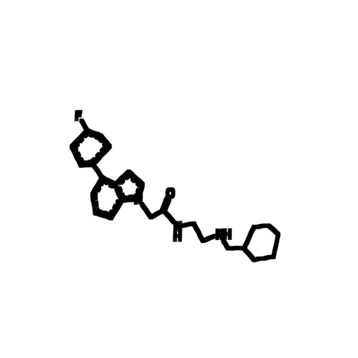 O=C(Cn1ccc2c(-c3ccc(F)cc3)cccc21)NCCNCC1CCCCC1